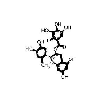 Cc1cc(O)c(O)cc1[C@@H]1Oc2cc(O)cc(O)c2C[C@H]1OC(=O)c1cc(O)c(O)c(O)c1F